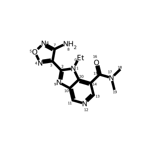 CCn1c(-c2nonc2N)nc2cncc(C(=O)N(C)C)c21